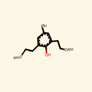 COCCc1cc(C(C)(C)C)cc(CCOC)c1O